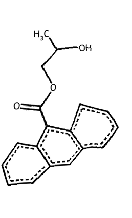 CC(O)COC(=O)c1c2ccccc2cc2ccccc12